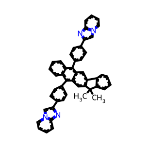 CC1(C)c2ccccc2-c2cc3c(-c4ccc(-c5cn6ccccc6n5)cc4)c4ccccc4c(-c4ccc(-c5cn6ccccc6n5)cc4)c3cc21